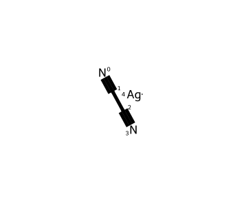 N#CC#N.[Ag]